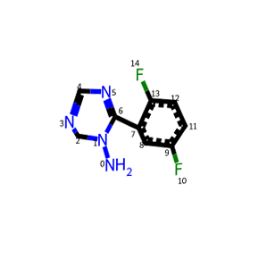 NN1CN=CN=C1c1cc(F)ccc1F